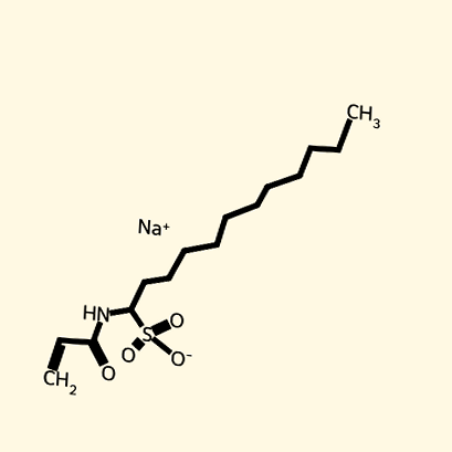 C=CC(=O)NC(CCCCCCCCCCC)S(=O)(=O)[O-].[Na+]